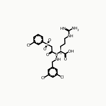 N=C(N)NCCC[C@@H](C(=O)O)N(NCc1cc(Cl)cc(Cl)c1)C(=O)CS(=O)(=O)c1cccc(Cl)c1